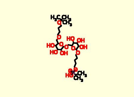 CC(C)P(=O)(O)OCCCCCOC1OC(COC2OC(COCCCCOC(C)(C)C)C(O)C(O)C2O)C(O)C(O)C1O